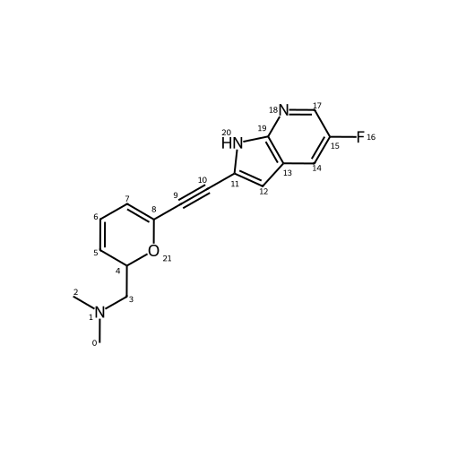 CN(C)CC1C=CC=C(C#Cc2cc3cc(F)cnc3[nH]2)O1